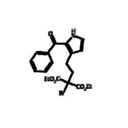 CCOC(=O)C(Br)(CCc1cc[nH]c1C(=O)c1ccccc1)C(=O)OCC